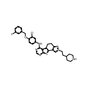 Fc1cccc(COc2ccc(Nc3ncnc4sc5c(c34)CCc3nn(CCC4CCNCC4)cc3-5)cc2Cl)c1